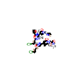 Cc1c(-c2cc(SCc3ccc(Cl)s3)n(C(=O)C(C)(C)C)n2)cc(=O)n(CC(=O)c2cocn2)c1C(=O)O.N#Cc1c(-c2ccn(Cc3ccsn3)c(=O)c2C(=O)O)nn(C(=O)c2ccco2)c1NCc1ccc(Cl)s1